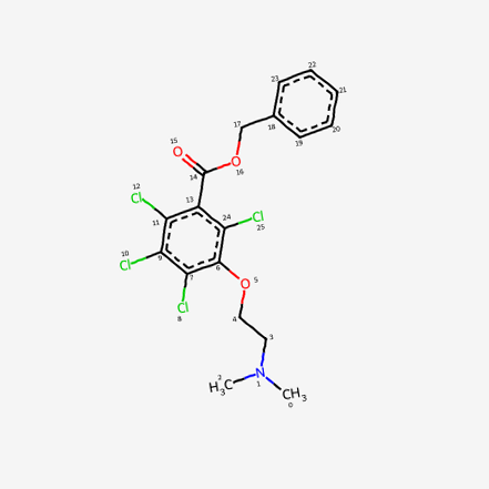 CN(C)CCOc1c(Cl)c(Cl)c(Cl)c(C(=O)OCc2ccccc2)c1Cl